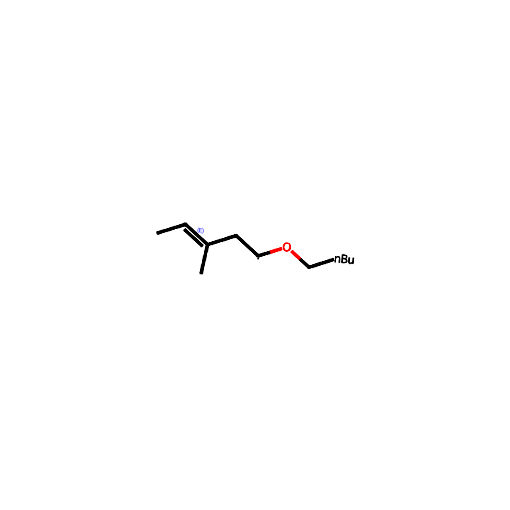 C/C=C(\C)C[CH]OCCCCC